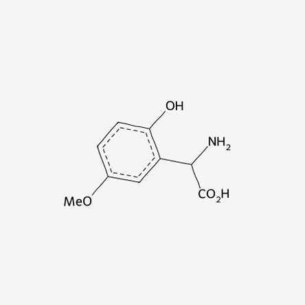 COc1ccc(O)c(C(N)C(=O)O)c1